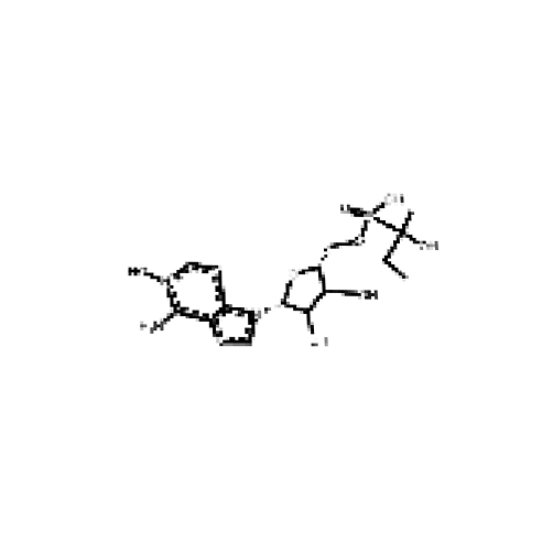 CCC(C)(O)P(=O)(O)OC[C@H]1O[C@@H](n2cnc3c(N)[n+](O)cnc32)[C@H](O)[C@@H]1O